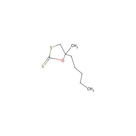 CCCCCC1(C)CSC(=S)O1